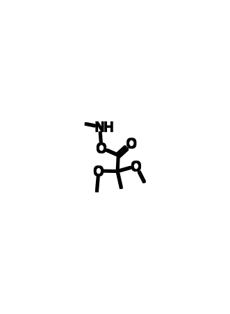 CNOC(=O)C(C)(OC)OC